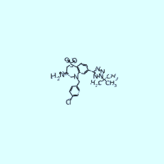 CC(C)(C)n1nnc(-c2ccc3c(c2)N(Cc2ccc(Cl)cc2)C[C@@H](N)CS3(=O)=O)n1